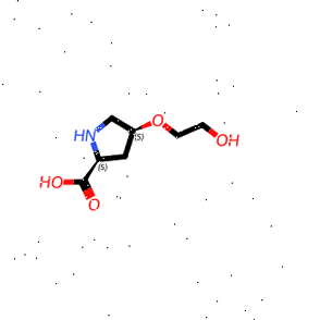 O=C(O)[C@@H]1C[C@H](OCCO)CN1